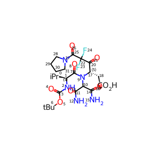 CC(C)[C@H](NC(=O)OC(C)(C)C)C(=O)N(C(C(N)=O)C(N)=O)[C@@H](CC(=O)O)C(=O)C(F)(F)C(=O)N1CCCC1